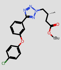 C[C@H](CC(=O)OC(C)(C)C)Cn1nnc(-c2cccc(Oc3ccc(Cl)cc3)c2)n1